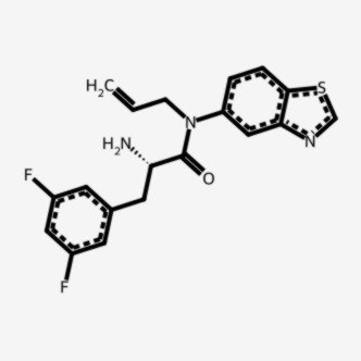 C=CCN(C(=O)[C@@H](N)Cc1cc(F)cc(F)c1)c1ccc2scnc2c1